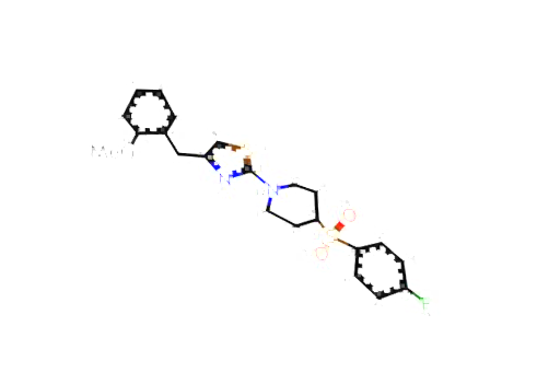 COc1ccccc1Cc1csc(N2CCC(S(=O)(=O)c3ccc(F)cc3)CC2)n1